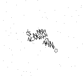 Cc1ccc(-c2nccc3[nH]c(-c4n[nH]c5cnc(-c6cncc(CNCC7CCCC7)c6)cc45)nc23)s1